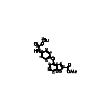 COC(=O)c1cc2c(Oc3ccc(NC(=O)OC(C)(C)C)cc3)cncc2s1